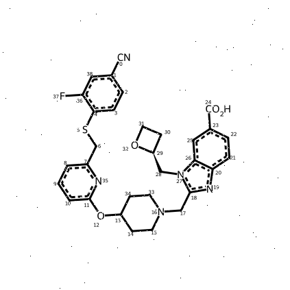 N#Cc1ccc(SCc2cccc(OC3CCN(Cc4nc5ccc(C(=O)O)cc5n4C[C@@H]4CCO4)CC3)n2)c(F)c1